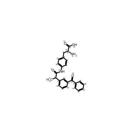 CC(C(=O)Nc1ccc(C[C@H](N)C(=O)O)cc1)c1cccc(C(=O)c2ccccc2)c1